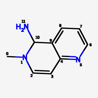 CN1C=Cc2ncccc2C1N